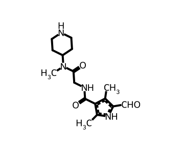 Cc1[nH]c(C=O)c(C)c1C(=O)NCC(=O)N(C)C1CCNCC1